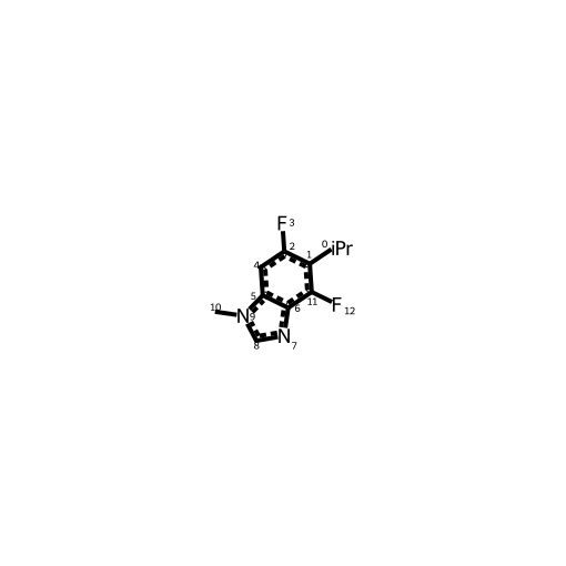 CC(C)c1c(F)cc2c(ncn2C)c1F